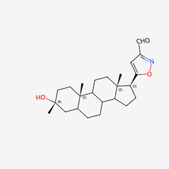 C[C@@]1(O)CC[C@@]2(C)C(CCC3C2CC[C@@]2(C)C3CC[C@@H]2c2cc(C=O)no2)C1